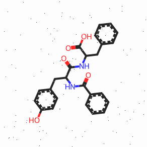 O=C(NC(Cc1ccc(O)cc1)C(=O)NC(Cc1ccccc1)C(=O)O)c1ccccc1